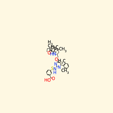 Cc1cccc(C)c1-c1cc(OCC(CC(C)(C)C)NCC2OCCC2(C)C)nc(NSc2cccc(C(=O)O)c2)n1